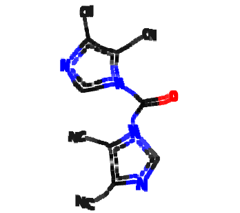 N#Cc1ncn(C(=O)n2cnc(C#N)c2C#N)c1C#N